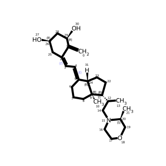 C=C1/C(=C\C=C2/CCC[C@]3(C)[C@@H](C(C)CN4CCOC[C@@H]4C)CC[C@@H]23)C[C@@H](O)C[C@H]1O